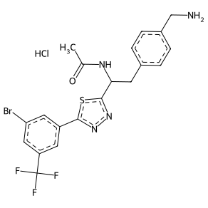 CC(=O)NC(Cc1ccc(CN)cc1)c1nnc(-c2cc(Br)cc(C(F)(F)F)c2)s1.Cl